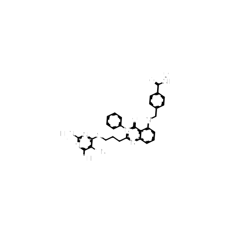 Cc1nc(N)nc(NCCCc2nc3cccc(NCc4ccc(C(=O)NO)cc4)c3c(=O)n2-c2ccccc2)c1C#N